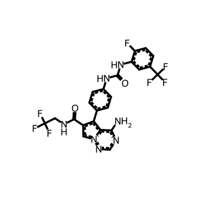 Nc1ncnn2cc(C(=O)NCC(F)(F)F)c(-c3ccc(NC(=O)Nc4cc(C(F)(F)F)ccc4F)cc3)c12